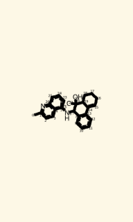 Cc1ccc2c(NC3c4ccccc4C4=CCCCC4C3(O)C(F)(F)F)cccc2n1